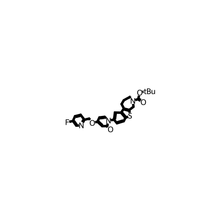 CC(C)(C)OC(=O)N1CCCc2c(sc3ccc(-n4ccc(OCc5ccc(F)cn5)cc4=O)cc23)C1